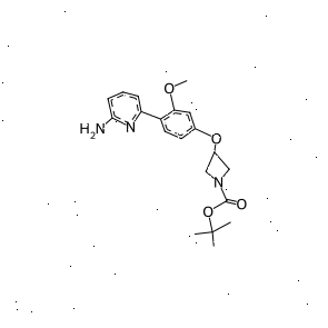 COc1cc(OC2CN(C(=O)OC(C)(C)C)C2)ccc1-c1cccc(N)n1